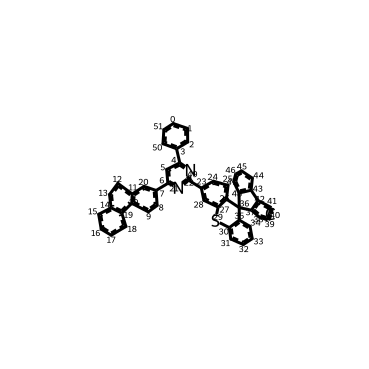 c1ccc(-c2cc(-c3ccc4c(ccc5ccccc54)c3)nc(-c3ccc4c(c3)Sc3ccccc3C43c4ccccc4-c4ccccc43)n2)cc1